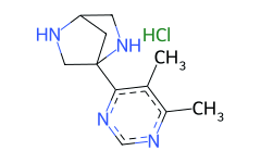 Cc1ncnc(C23CNC(CN2)C3)c1C.Cl